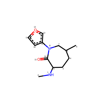 CNC1CCC(C)CN(c2ccoc2)C1=O